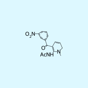 CC(=O)NC1=C(C(=O)c2cccc([N+](=O)[O-])c2)C=CCN1C